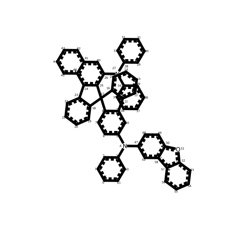 c1ccc(N(c2ccc3c(c2)-c2ccccc2C32c3ccccc3-c3c2c(N(c2ccccc2)c2ccccc2)cc2ccccc32)c2ccc3oc4ccccc4c3c2)cc1